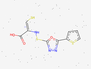 O=C(O)/C(=C/S)NSc1nnc(-c2cccs2)o1